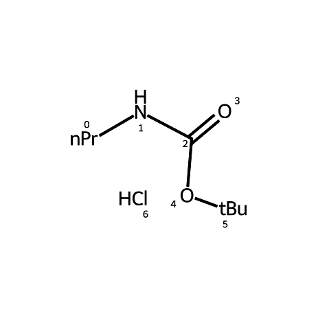 CCCNC(=O)OC(C)(C)C.Cl